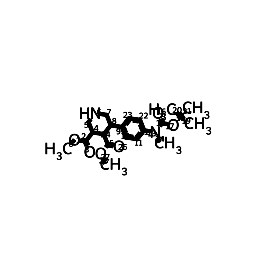 COC(=O)C1CNCC(c2ccc(N(C)C(=O)OC(C)(C)C)cc2)C1C(=O)OC